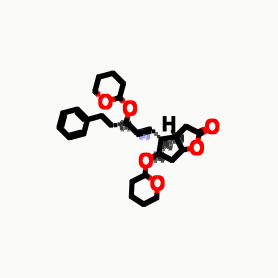 O=C1C[C@H]2C(C[C@@H](OC3CCCCO3)[C@@H]2/C=C/[C@H](CCc2ccccc2)OC2CCCCO2)O1